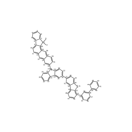 CC1(C)c2ccccc2-c2ccc3cc4cc(-n5c6ccccc6c6cc(-c7ccc8sc9c(-c%10cccc(-c%11ccccc%11)c%10)cccc9c8c7)ccc65)ccc4cc3c21